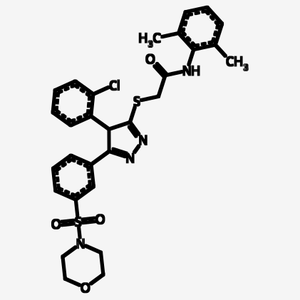 Cc1cccc(C)c1NC(=O)CSC1=NN=C(c2cccc(S(=O)(=O)N3CCOCC3)c2)C1c1ccccc1Cl